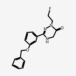 O=C1CNC(c2cccc(OCc3ccccc3)c2)=NN1CCF